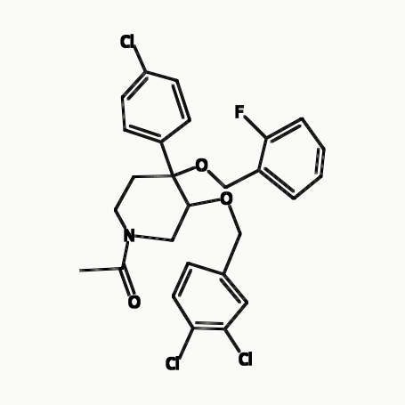 CC(=O)N1CCC(OCc2ccccc2F)(c2ccc(Cl)cc2)C(OCc2ccc(Cl)c(Cl)c2)C1